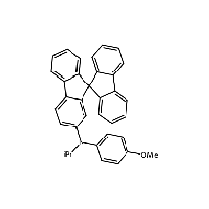 COc1ccc(N(c2ccc3c(c2)C2(c4ccccc4-c4ccccc42)c2ccccc2-3)C(C)C)cc1